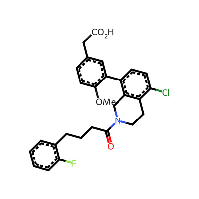 COc1ccc(CC(=O)O)cc1-c1ccc(Cl)c2c1CN(C(=O)CCCc1ccccc1F)CC2